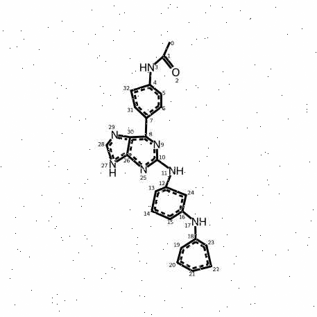 CC(=O)Nc1ccc(-c2nc(Nc3cccc(Nc4ccccc4)c3)nc3[nH]cnc23)cc1